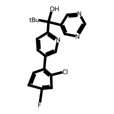 CC(C)(C)C(O)(c1cncnc1)c1ccc(-c2ccc(F)cc2Cl)cn1